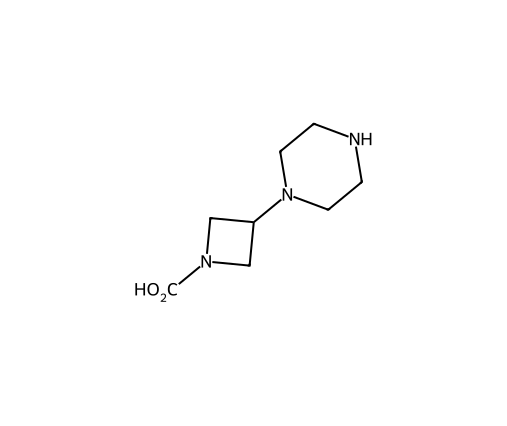 O=C(O)N1CC(N2CCNCC2)C1